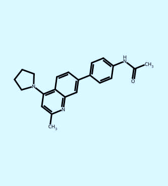 CC(=O)Nc1ccc(-c2ccc3c(N4CCCC4)cc(C)nc3c2)cc1